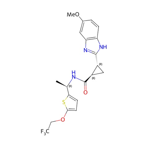 COc1ccc2[nH]c([C@@H]3C[C@H]3C(=O)N[C@H](C)c3ccc(OCC(F)(F)F)s3)nc2c1